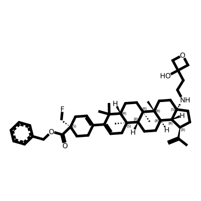 C=C(C)[C@@H]1CC[C@]2(NCCC3(O)COC3)CC[C@]3(C)[C@H](CC[C@@H]4[C@@]5(C)CC=C(C6=CC[C@](CF)(C(=O)OCc7ccccc7)CC6)C(C)(C)[C@@H]5CC[C@]43C)[C@@H]12